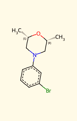 C[C@@H]1CN(c2cccc(Br)c2)C[C@H](C)O1